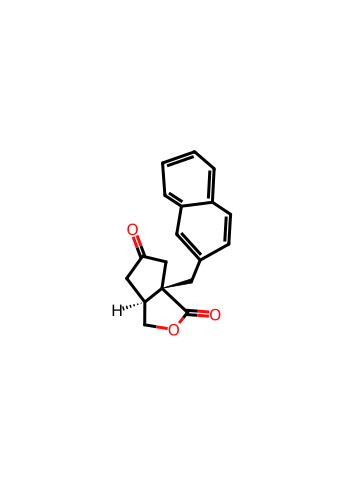 O=C1C[C@@H]2COC(=O)[C@@]2(Cc2ccc3ccccc3c2)C1